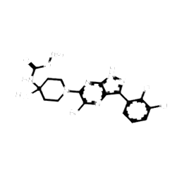 CC1(NC(=O)OC(C)(C)C)CCN(c2nc3[nH]nc(-c4cccc(Cl)c4Cl)c3nc2Br)CC1